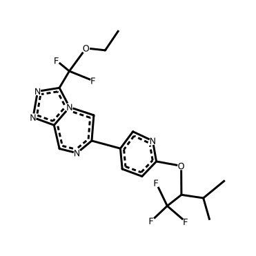 CCOC(F)(F)c1nnc2cnc(-c3ccc(OC(C(C)C)C(F)(F)F)nc3)cn12